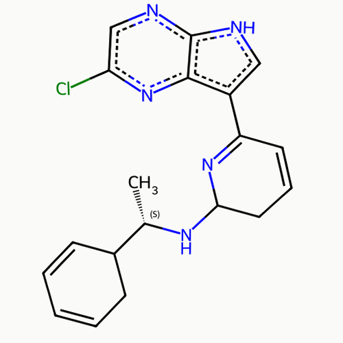 C[C@H](NC1CC=CC(c2c[nH]c3ncc(Cl)nc23)=N1)C1C=CC=CC1